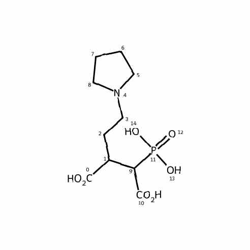 O=C(O)C(CCN1CCCC1)C(C(=O)O)P(=O)(O)O